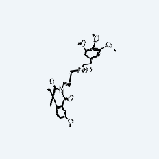 COc1ccc2c(c1)C(=O)N(CCCNCCc1cc(OC)c(OC)c(OC)c1)C(=O)C2(C)C